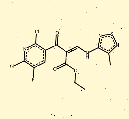 CCOC(=O)/C(=C\Nc1nsnc1C)C(=O)c1cc(F)c(Cl)nc1Cl